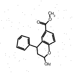 COC(=O)c1ccc2c(c1)C(c1ccccc1)CC(O)O2